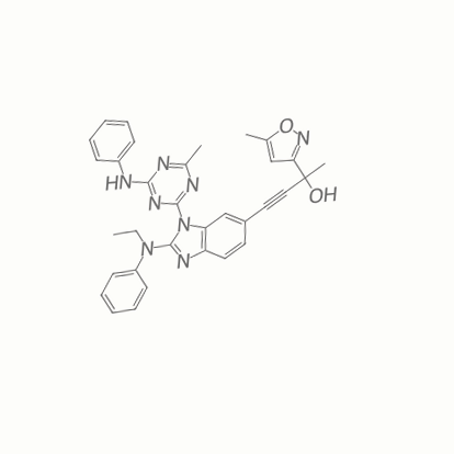 CCN(c1ccccc1)c1nc2ccc(C#CC(C)(O)c3cc(C)on3)cc2n1-c1nc(C)nc(Nc2ccccc2)n1